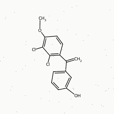 C=C(c1cccc(O)c1)c1ccc(OC)c(Cl)c1Cl